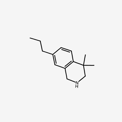 CCCc1ccc2c(c1)CNCC2(C)C